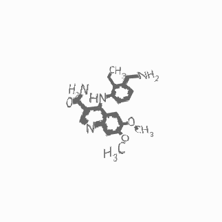 CCc1c(CN)cccc1Nc1c(C(N)=O)cnc2cc(OC)c(OC)cc12